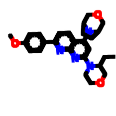 CCC1COCCN1c1cc(N2C3CCC2COC3)c2ccc(-c3ccc(OC)cc3)nc2n1